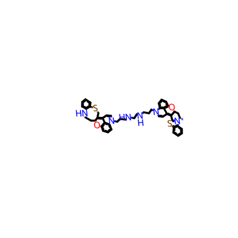 C1=CN(CCCNCCNCCCN2C=CC3=C4c5sc6ccccc6[n+]5CCC4Oc4cccc2c43)c2cccc3c2C1=C1CSc2ccccc2NCCC1O3